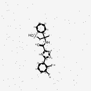 CC(CC(=O)O)(NC(=O)c1noc(-c2cccc(F)c2F)n1)c1ccccc1